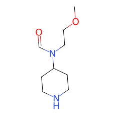 COCCN(C=O)C1CCNCC1